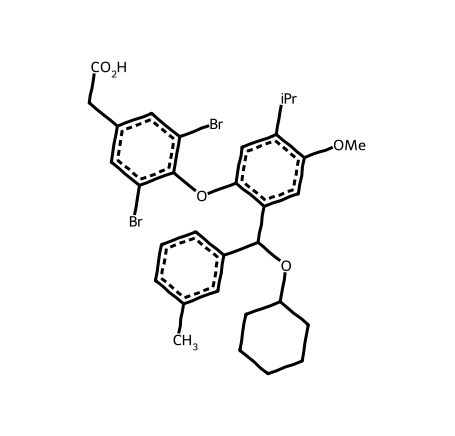 COc1cc(C(OC2CCCCC2)c2cccc(C)c2)c(Oc2c(Br)cc(CC(=O)O)cc2Br)cc1C(C)C